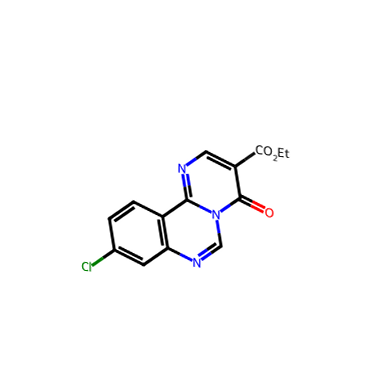 CCOC(=O)c1cnc2c3ccc(Cl)cc3ncn2c1=O